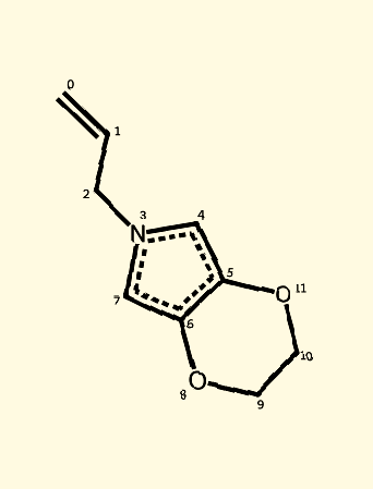 C=CCn1cc2c(c1)OCCO2